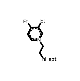 CCCCCCCCC[n+]1ccc(CC)c(CC)c1